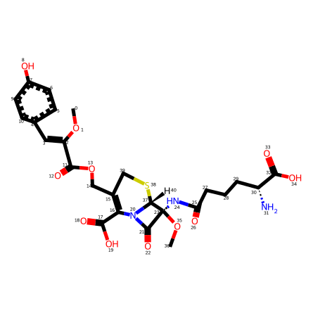 CO/C(=C\c1ccc(O)cc1)C(=O)OCC1=C(C(=O)O)N2C(=O)[C@](NC(=O)CCC[C@@H](N)C(=O)O)(OC)[C@H]2SC1